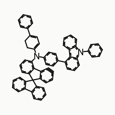 c1ccc2c(c#1)-c1c(N(C3=CC=C(c4ccccc4)CC3)c3ccc(-c4cccc5c4c4ccccc4n5-c4ccccc4)cc3)cccc1C21c2ccccc2-c2ccccc21